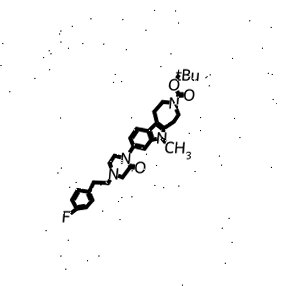 Cn1c2c(c3ccc(N4CCN(CCc5ccc(F)cc5)CC4=O)cc31)CCN(C(=O)OC(C)(C)C)CC2